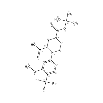 COc1nc(N2CCN(C(=O)OC(C)(C)C)CC2C(=O)O)ccc1C(F)(F)F